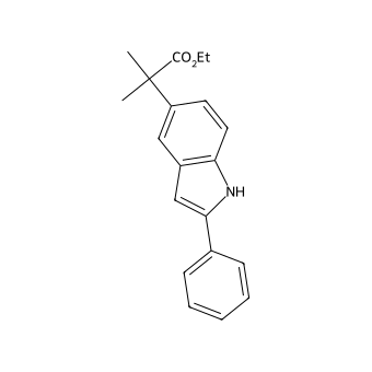 CCOC(=O)C(C)(C)c1ccc2[nH]c(-c3ccccc3)cc2c1